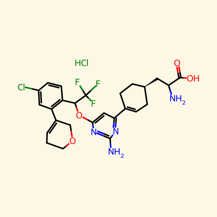 Cl.Nc1nc(OC(c2ccc(Cl)cc2C2=CCCOC2)C(F)(F)F)cc(C2=CC[C@H](CC(N)C(=O)O)CC2)n1